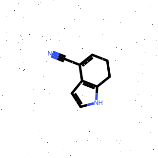 N#CC1=CCCc2[nH]ccc21